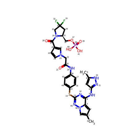 Cc1cc2c(Nc3cc(C)[nH]n3)nc(Sc3ccc(NC(=O)Cn4ccc(C(=O)N5CC(F)(F)C[C@H]5COP(=O)(O)O)c4)cc3)nn2c1